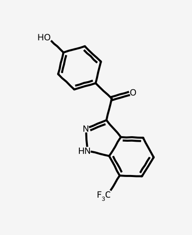 O=C(c1ccc(O)cc1)c1n[nH]c2c(C(F)(F)F)cccc12